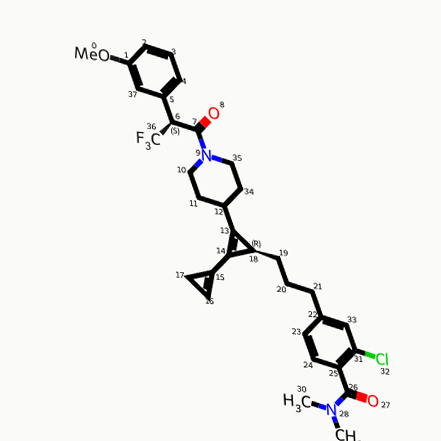 COc1cccc([C@@H](C(=O)N2CCC(C3=C(C4=CC4)[C@@H]3CCCc3ccc(C(=O)N(C)C)c(Cl)c3)CC2)C(F)(F)F)c1